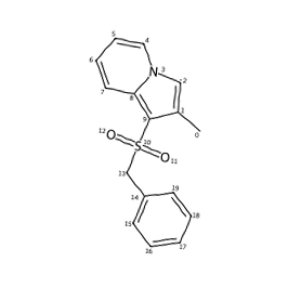 Cc1[c]n2ccccc2c1S(=O)(=O)Cc1ccccc1